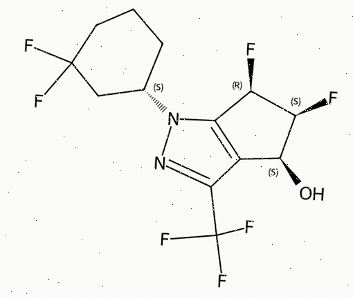 O[C@H]1c2c(C(F)(F)F)nn([C@H]3CCCC(F)(F)C3)c2[C@@H](F)[C@H]1F